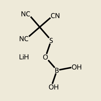 N#CC(C#N)(C#N)SOB(O)O.[LiH]